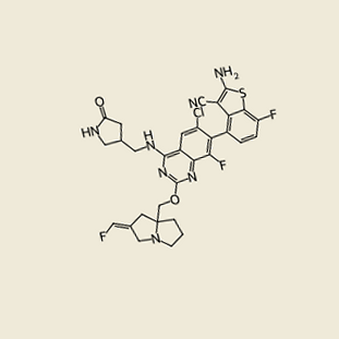 N#Cc1c(N)sc2c(F)ccc(-c3c(Cl)cc4c(NCC5CNC(=O)C5)nc(OCC56CCCN5C/C(=C\F)C6)nc4c3F)c12